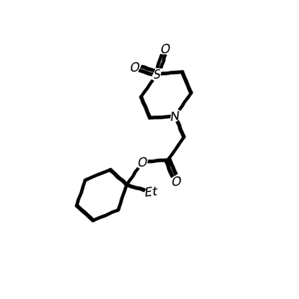 CCC1(OC(=O)CN2CCS(=O)(=O)CC2)CCCCC1